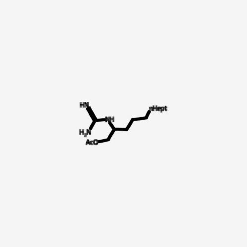 CCCCCCCCCCC(COC(C)=O)NC(=N)N